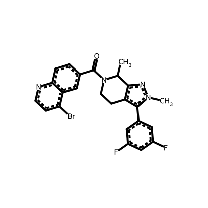 CC1c2nn(C)c(-c3cc(F)cc(F)c3)c2CCN1C(=O)c1ccc2nccc(Br)c2c1